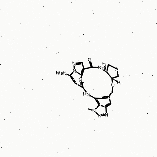 CNc1cc2nc3c(cnn13)C(=O)N[C@@H]1CCC[C@@H]1OCc1cc(c3c(c1)nnn3C)N2